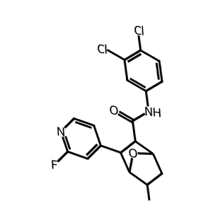 O=C(Nc1ccc(Cl)c(Cl)c1)C1C2CC(O)C(O2)C1c1ccnc(F)c1